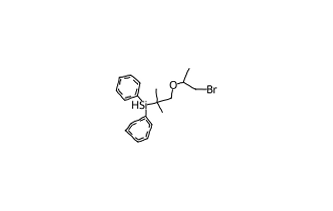 CC(CBr)OCC(C)(C)[SiH](c1ccccc1)c1ccccc1